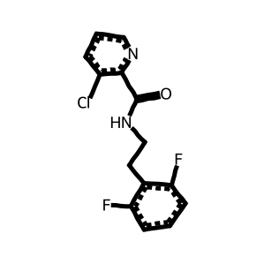 O=C(NCCc1c(F)cccc1F)c1ncccc1Cl